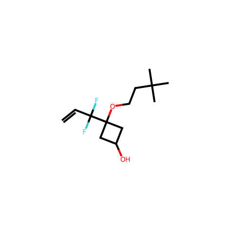 C=CC(F)(F)C1(OCCC(C)(C)C)CC(O)C1